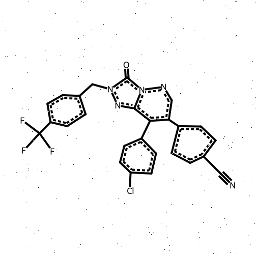 N#Cc1ccc(-c2cnn3c(=O)n(Cc4ccc(C(F)(F)F)cc4)nc3c2-c2ccc(Cl)cc2)cc1